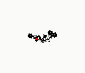 O=C(OCC1c2ccccc2-c2ccccc21)N(Cc1nnc([C@@H]2CC[C@@H]3CN2C(=O)N3OCc2ccccc2)o1)C1CCC1